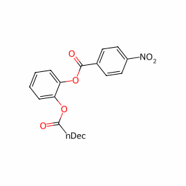 CCCCCCCCCCC(=O)Oc1ccccc1OC(=O)c1ccc([N+](=O)[O-])cc1